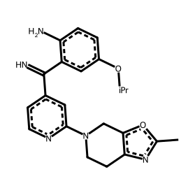 Cc1nc2c(o1)CN(c1cc(C(=N)c3cc(OC(C)C)ccc3N)ccn1)CC2